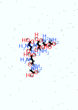 NC(=O)CC(N)C(=O)O.NC(=O)CC(N)C(=O)O.NC(=O)CC(N)C(=O)O.NCC(=O)O.NCC(=O)O.NCC(=O)O